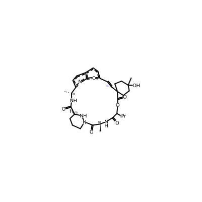 CC(C)C1OC(=O)C2(/C=C/c3ccc4ccc(nc4c3)[C@@H](C)NC(=O)[C@@H]3CCCN(N3)C(=O)[C@H](C)NC1=O)CCC(C)(O)CC2